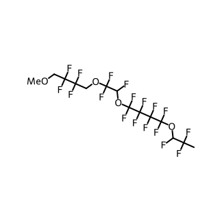 COCC(F)(F)C(F)(F)COC(F)(F)C(F)OC(F)(F)C(F)(F)C(F)(F)C(F)(F)OC(F)C(C)(F)F